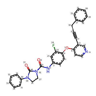 O=C(Nc1ccc(Oc2ccncc2C#CCc2ccccc2)c(F)c1)N1CCN(c2ccccc2)C1=O